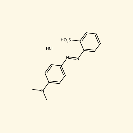 CN(C)c1ccc(N=Nc2ccccc2S(=O)(=O)O)cc1.Cl